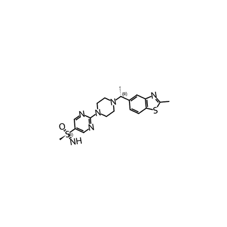 Cc1nc2cc([C@@H](C)N3CCN(c4ncc([S@](C)(=N)=O)cn4)CC3)ccc2s1